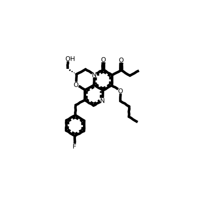 CCCCOc1c(C(=O)CC)c(=O)n2c3c(c(Cc4ccc(F)cc4)cnc13)O[C@H](CO)C2